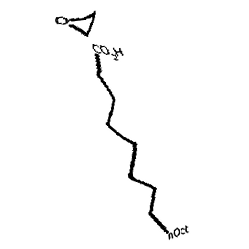 C1CO1.CCCCCCCCCCCCCCCC(=O)O